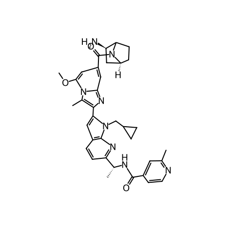 COc1cc(C(=O)N2C3CC[C@H]2C[C@H]3N)cc2nc(-c3cc4ccc([C@@H](C)NC(=O)c5ccnc(C)c5)nc4n3CC3CC3)c(C)n12